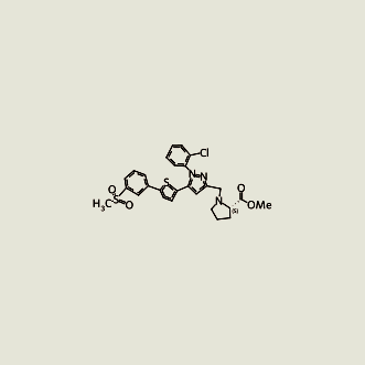 COC(=O)[C@@H]1CCCN1Cc1cc(-c2ccc(-c3cccc(S(C)(=O)=O)c3)s2)n(-c2ccccc2Cl)n1